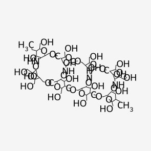 CCC1C(CO)OC2COCC3C(CO)OC4COCC5C(CO)OC6COCC7C(CO)OC(CO)C(NOC8C(COCC9C(CO)OC(COCC%10C(CO)OC(COCC%11C(CO)OC(CO)C(ONC2C1O)C%11O)C(ONC4C3O)C%10O)C(ONC6C5O)C9O)OC(CO)C(CC)C8O)C7O